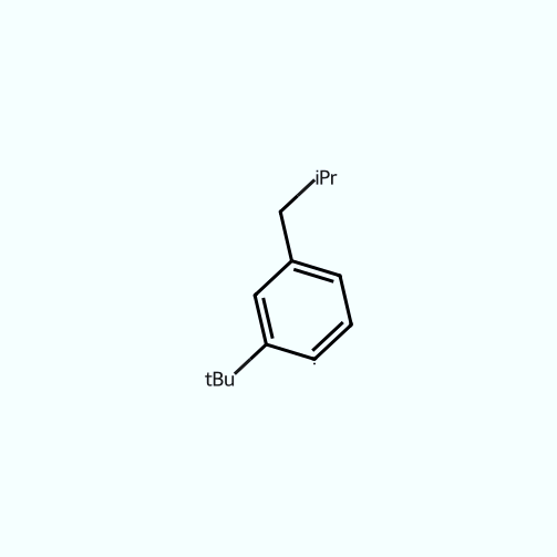 CC(C)Cc1cc[c]c(C(C)(C)C)c1